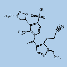 C#CCOc1c(C(=O)c2ccc(S(C)(=O)=O)c(C3CC(C)=NO3)c2C)cnn1CC